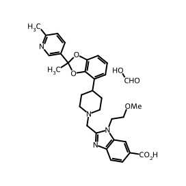 COCCn1c(CN2CCC(c3cccc4c3OC(C)(c3ccc(C)nc3)O4)CC2)nc2ccc(C(=O)O)cc21.O=CO